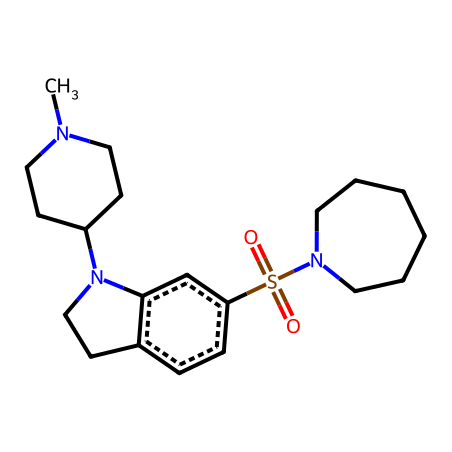 CN1CCC(N2CCc3ccc(S(=O)(=O)N4CCCCCC4)cc32)CC1